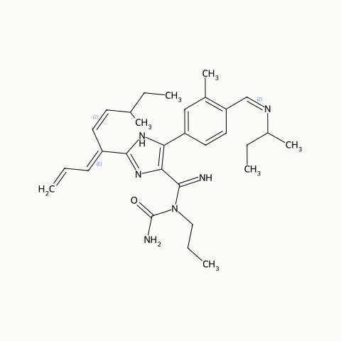 C=C/C=C(\C=C/C(C)CC)c1nc(C(=N)N(CCC)C(N)=O)c(-c2ccc(/C=N\C(C)CC)c(C)c2)[nH]1